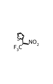 O=[N+]([O-])/C=C(\c1cccs1)C(F)(F)F